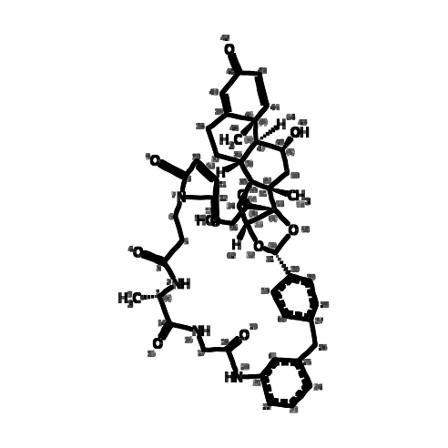 C[C@H](NC(=O)CCN1C(=O)C=CC1=O)C(=O)NCC(=O)Nc1cccc(Cc2ccc([C@@H]3O[C@@H]4CC5[C@@H]6CCC7=CC(=O)C=C[C@]7(C)[C@H]6[C@@H](O)C[C@]5(C)[C@]4(C(=O)CO)O3)cc2)c1